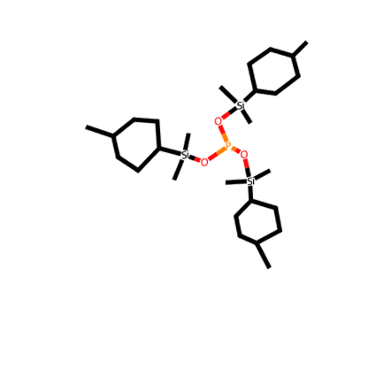 CC1CCC([Si](C)(C)OP(O[Si](C)(C)C2CCC(C)CC2)O[Si](C)(C)C2CCC(C)CC2)CC1